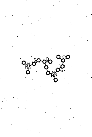 c1ccc(-c2nc(-c3ccccc3)nc(-c3ccc4c(c3)sc3ccc(-c5cc(-c6ccc(-c7cccc(-c8nc(-c9ccccc9)nc(-c9ccc%10c(c9)sc9ccc(-c%11cc(-c%12ccccc%12)c%12oc%13ccccc%13c%12c%11)cc9%10)n8)c7)cc6)c6c(c5)oc5ccccc56)cc34)n2)cc1